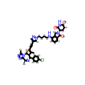 CC1=C(C#Cc2cnn(CCCCNc3cccc4c3CN(C3CCC(=O)NC3=O)C4=O)c2)SC2C1C(c1ccc(Cl)cc1)=N[C@@H](C)c1nnc(C)n12